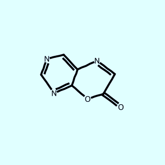 O=c1cnc2cncnc2o1